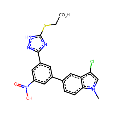 Cn1cc(Cl)c2cc(-c3cc(-c4n[nH]c(SCC(=O)O)n4)cc([N+](=O)O)c3)ccc21